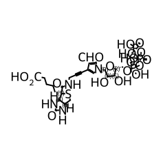 O=Cc1cc(C#CCNC(=O)[C@@]2(CCCCC(=O)O)SC[C@@H]3NC(=O)N[C@@H]32)cn1[C@@H]1O[C@H](COP(=O)(O)OP(=O)(O)OP(=O)(O)O)[C@@H](O)[C@H]1O